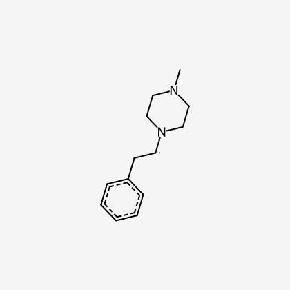 CN1CCN([CH]Cc2ccccc2)CC1